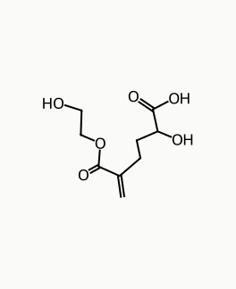 C=C(CCC(O)C(=O)O)C(=O)OCCO